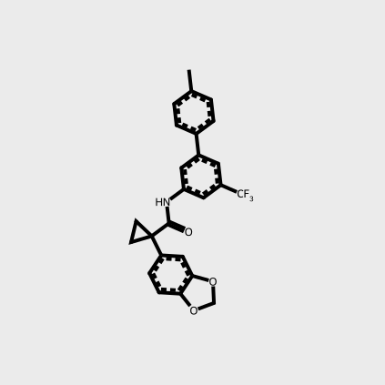 Cc1ccc(-c2cc(NC(=O)C3(c4ccc5c(c4)OCO5)CC3)cc(C(F)(F)F)c2)cc1